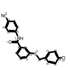 N#Cc1ccc(NC(=O)c2cccc(SCc3ccc(Cl)cc3)c2)cc1